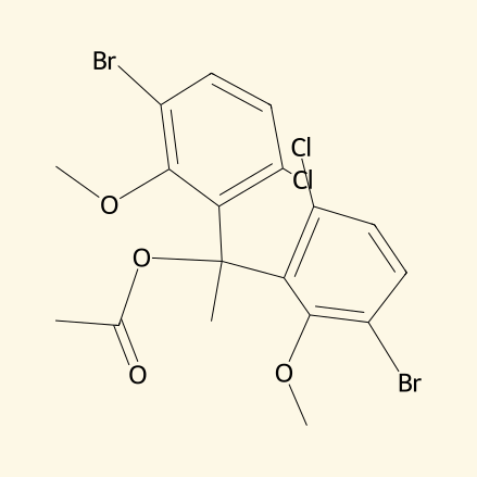 COc1c(Br)ccc(Cl)c1C(C)(OC(C)=O)c1c(Cl)ccc(Br)c1OC